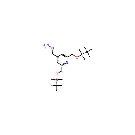 CC(C)(C)[Si](C)(C)OCc1cc(CON)cc(CO[Si](C)(C)C(C)(C)C)n1